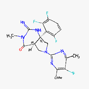 COc1nc(N2C[C@H]3C(=O)N(C)C(=N)N[C@@]3(c3c(F)ccc(F)c3F)C2)nc(C)c1F